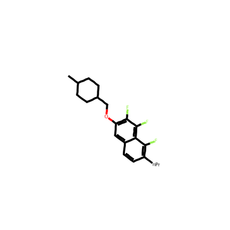 CCCc1ccc2cc(OCC3CCC(C)CC3)c(F)c(F)c2c1F